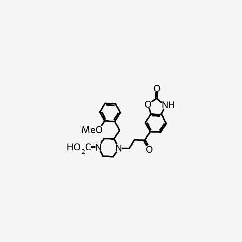 COc1ccccc1CC1CN(C(=O)O)CCN1CCC(=O)c1ccc2[nH]c(=O)oc2c1